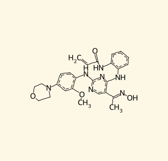 C=CC(=O)Nc1ccccc1Nc1nc(Nc2ccc(N3CCOCC3)cc2OC)ncc1C(C)=NO